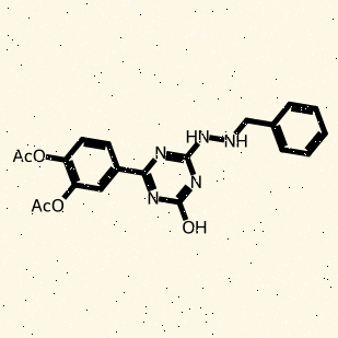 CC(=O)Oc1ccc(-c2nc(O)nc(NNCc3ccccc3)n2)cc1OC(C)=O